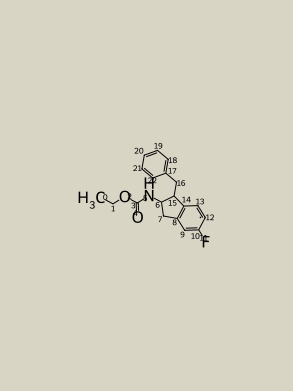 CCOC(=O)NC1Cc2cc(F)[c]cc2C1Cc1ccccc1